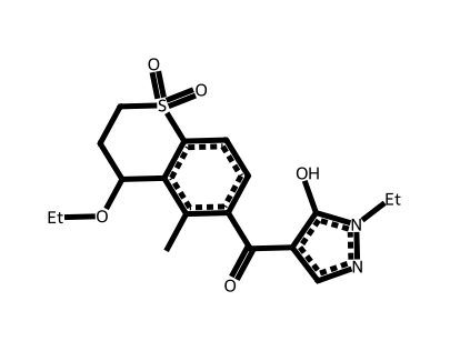 CCOC1CCS(=O)(=O)c2ccc(C(=O)c3cnn(CC)c3O)c(C)c21